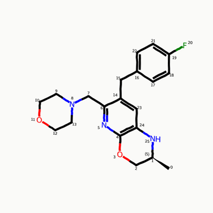 C[C@H]1COc2nc(CN3CCOCC3)c(Cc3ccc(F)cc3)cc2N1